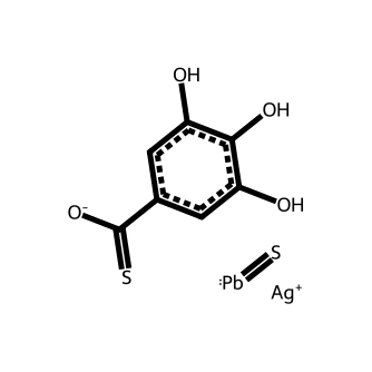 [Ag+].[O-]C(=S)c1cc(O)c(O)c(O)c1.[S]=[Pb]